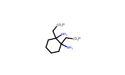 NC1(CC(=O)O)CCCCC1(N)CC(=O)O